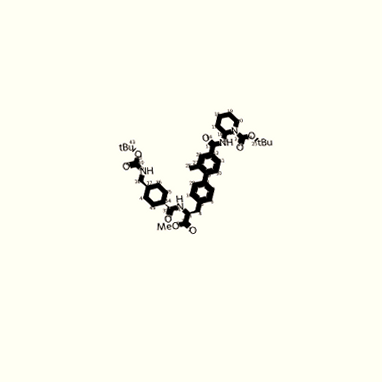 COC(=O)[C@H](Cc1ccc(-c2ccc(C(=O)NC3CCCCN3C(=O)OC(C)(C)C)cc2C)cc1)NC(=O)[C@H]1CC[C@H](CNC(=O)OC(C)(C)C)CC1